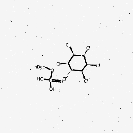 CCCCCCCCCCOP(=O)(O)O.Cl[C@H]1[C@H](Cl)[C@@H](Cl)[C@@H](Cl)[C@H](Cl)[C@H]1Cl